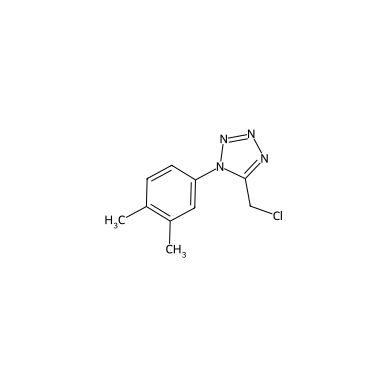 Cc1ccc(-n2nnnc2CCl)cc1C